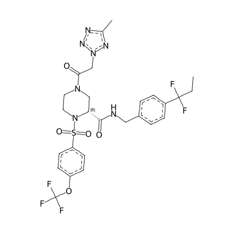 CCC(F)(F)c1ccc(CNC(=O)[C@H]2CN(C(=O)Cn3nnc(C)n3)CCN2S(=O)(=O)c2ccc(OC(F)(F)F)cc2)cc1